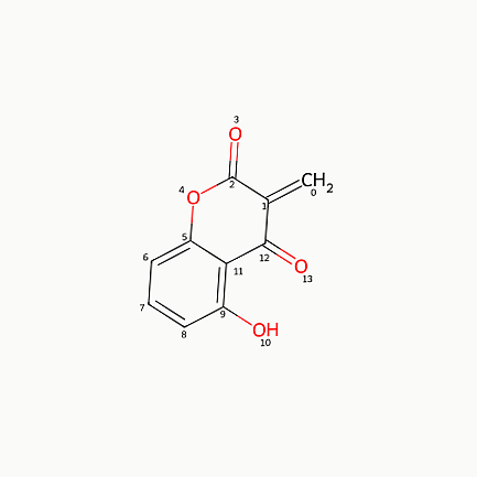 C=C1C(=O)Oc2cccc(O)c2C1=O